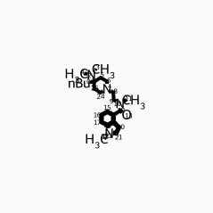 CCCCC1(N(C)C)CCN(CCN(C)C(=O)c2cccc3c2ccn3C)CC1